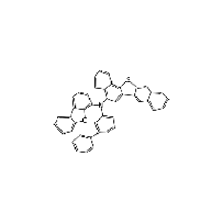 c1ccc(-c2cccc(N(c3cc4c5cc6ccccc6cc5sc4c4ccccc34)c3cccc4c3oc3ccccc34)c2)cc1